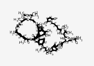 CO[C@H]1/C=C/O[C@@]2(C)Oc3c(C)c(O)c4c(=O)c(c5sc6cc(N(C)CC[N+](C)(C)Cc7ccc(NC(=O)[C@H](CCCNC(N)=O)NC(=O)[C@@H](NC(=O)CCCCCN8C(=O)C=CC8=O)C(C)C)cc7)ccc6nc-5c4c3C2=O)NC(=O)/C(C)=C\C=C\[C@H](C)CCC[C@@H](C)[C@H](OC(C)=O)C1